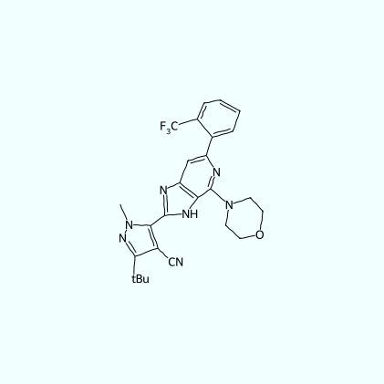 Cn1nc(C(C)(C)C)c(C#N)c1-c1nc2cc(-c3ccccc3C(F)(F)F)nc(N3CCOCC3)c2[nH]1